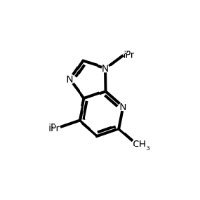 Cc1cc(C(C)C)c2ncn(C(C)C)c2n1